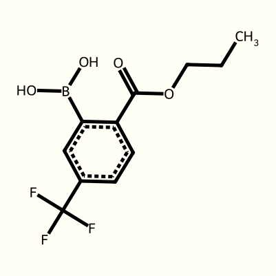 CCCOC(=O)c1ccc(C(F)(F)F)cc1B(O)O